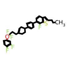 CCCc1cc2ccc(-c3ccc(C4CC=C(CCC(F)(F)Oc5ccc(F)c(F)c5)CC4)cc3)c(F)c2s1